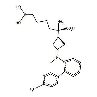 CN(c1ccccc1-c1ccc(C(F)(F)F)cc1)[C@H]1C[C@H]([C@@](N)(CCCCB(O)O)C(=O)O)C1